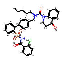 CCCCCN(Cc1ccc(-c2ccccc2S(=O)(=O)NC(=O)c2ccccc2Cl)cc1)C(=O)N1CCC(=O)c2ccccc21